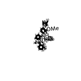 COc1nc(Nc2cccc3c2nc(-c2cccc(F)c2F)n3C)ccc1-n1cnc(C)c1.Cl.Cl.O